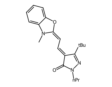 CCCN1N=C(C(C)(C)C)/C(=C\C=C2\Oc3ccccc3N2C)C1=O